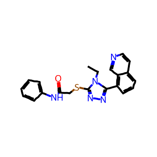 CCn1c(SCC(=O)Nc2ccccc2)nnc1-c1cccc2ccncc12